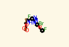 CC(OCCS(C)(=O)=O)c1nc(-c2cc3c(Nc4ccc(OCc5cccc(F)c5)c(Br)c4)ncnc3cc2F)cs1